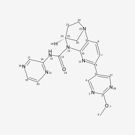 COc1ncc(-c2ccc3c(n2)N(C(=O)Nc2cnccn2)[C@H]2CCN3C2)cn1